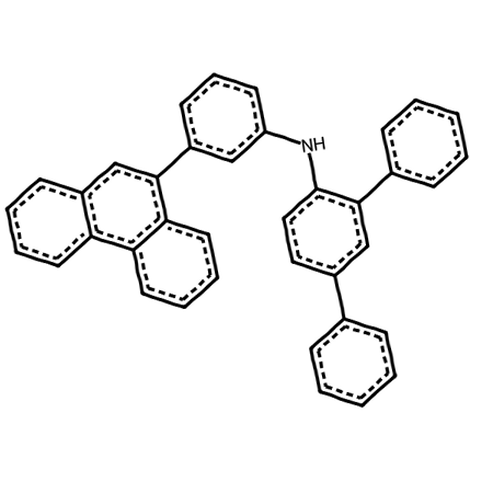 c1ccc(-c2ccc(Nc3cccc(-c4cc5ccccc5c5ccccc45)c3)c(-c3ccccc3)c2)cc1